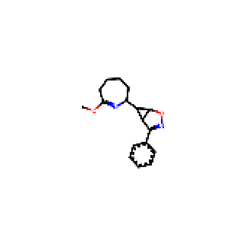 COC1=NC(C2C3ON=C(c4ccccc4)C32)CCCC1